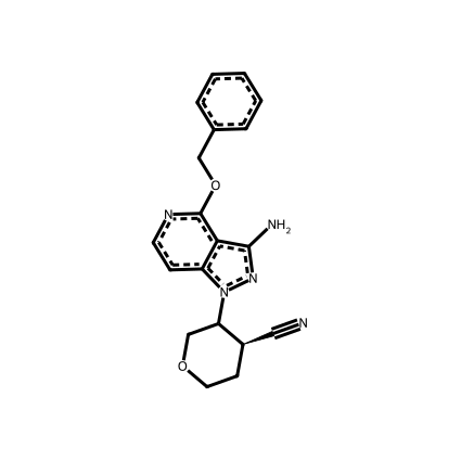 N#C[C@H]1CCOCC1n1nc(N)c2c(OCc3ccccc3)nccc21